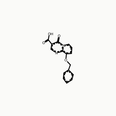 O=C(O)c1cnc2c(OCc3ccccc3)cccn2c1=O